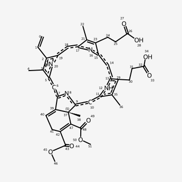 C=Cc1c(C)c2cc3nc(cc4[nH]c(cc5nc(cc1[nH]2)C(C)=C5CCC(=O)O)c(CCC(=O)O)c4C)[C@@]1(C)C3=CCC(C(=O)OC)=C1C(=O)OC